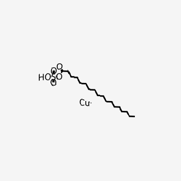 CCCCCCCCCCCCCCCCCC(=O)OS(=O)(=O)O.[Cu]